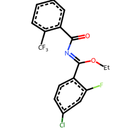 CCOC(=NC(=O)c1ccccc1C(F)(F)F)c1ccc(Cl)cc1F